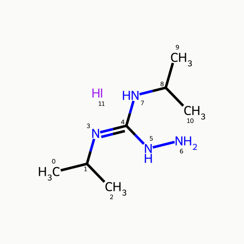 CC(C)N=C(NN)NC(C)C.I